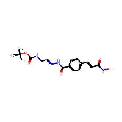 CC(C)(C)OC(=O)NC/C=N/NC(=O)c1ccc(/C=C/C(=O)NO)cc1